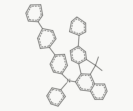 CC1(C)c2cc(-c3ccccc3)ccc2-c2c(N(c3ccccc3)c3ccc(-c4ccc(-c5ccccc5)cc4)cc3)cc3ccccc3c21